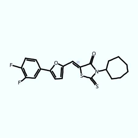 O=C1/C(=C/c2ccc(-c3ccc(F)c(F)c3)o2)SC(=S)N1C1CCCCCC1